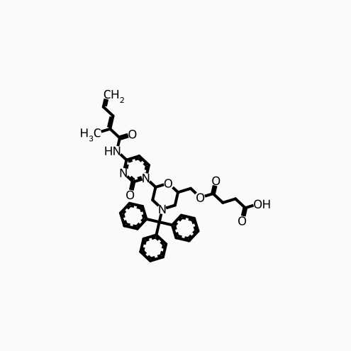 C=C/C=C(\C)C(=O)Nc1ccn(C2CN(C(c3ccccc3)(c3ccccc3)c3ccccc3)CC(COC(=O)CCC(=O)O)O2)c(=O)n1